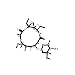 CC[C@H]1OC(=O)[C@H](C)[C@@H](O[C@H]2C[C@@](C)(OC)[C@@H](O)[C@H](C)O2)[C@H](C)[C@@H](C)[C@](C)(OC)C[C@@H](C)C(=O)CC(O)(CC)[C@]1(C)O